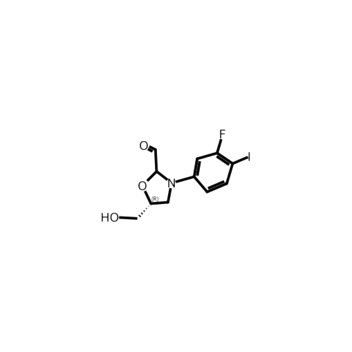 O=CC1O[C@@H](CO)CN1c1ccc(I)c(F)c1